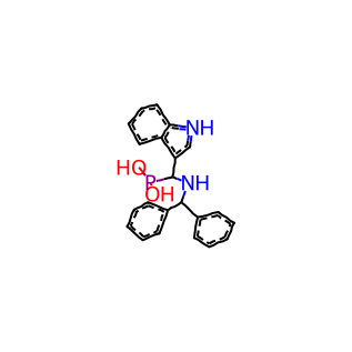 OP(O)C(NC(c1ccccc1)c1ccccc1)c1c[nH]c2ccccc12